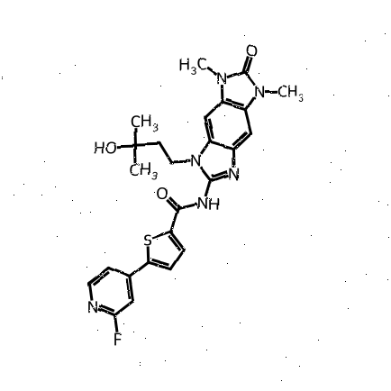 Cn1c(=O)n(C)c2cc3c(cc21)nc(NC(=O)c1ccc(-c2ccnc(F)c2)s1)n3CCC(C)(C)O